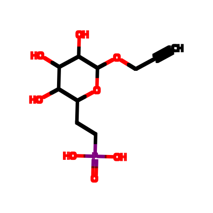 C#CCOC1OC(CCP(=O)(O)O)C(O)C(O)C1O